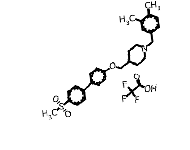 Cc1ccc(CN2CCC(COc3ccc(-c4ccc(S(C)(=O)=O)cc4)cc3)CC2)cc1C.O=C(O)C(F)(F)F